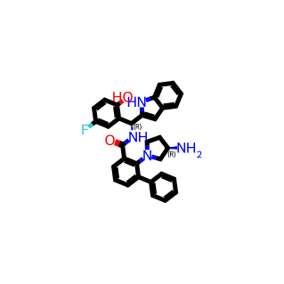 N[C@@H]1CCN(c2c(C(=O)N[C@@H](c3cc4ccccc4[nH]3)c3cc(F)ccc3O)cccc2-c2ccccc2)C1